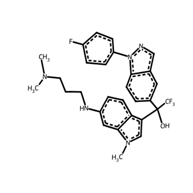 CN(C)CCCNc1ccc2c(C(O)(c3ccc4c(cnn4-c4ccc(F)cc4)c3)C(F)(F)F)cn(C)c2c1